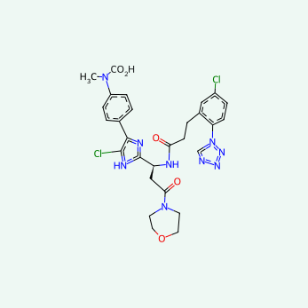 CN(C(=O)O)c1ccc(-c2nc([C@H](CC(=O)N3CCOCC3)NC(=O)CCc3cc(Cl)ccc3-n3cnnn3)[nH]c2Cl)cc1